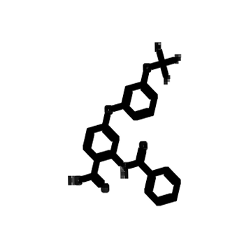 O=C(Nc1cc(Oc2cccc(OC(F)(F)F)c2)ccc1C(=O)O)c1ccccc1